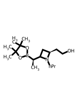 CCCN1C([C@@H](C)B2OC(C)(C)C(C)(C)O2)C[C@H]1CCO